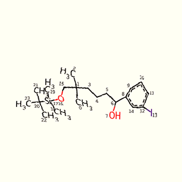 CC(C)(CCCC(O)c1cccc(I)c1)CO[Si](C)(C)C(C)(C)C